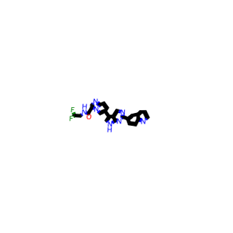 O=C(NCC(F)F)c1cnc2ccc(-c3c[nH]c4nc(-c5ccc6ncccc6c5)ncc34)cn12